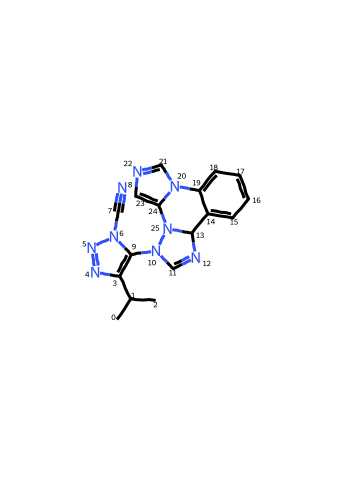 CC(C)c1nnn(C#N)c1N1C=NC2c3ccccc3-n3cncc3N21